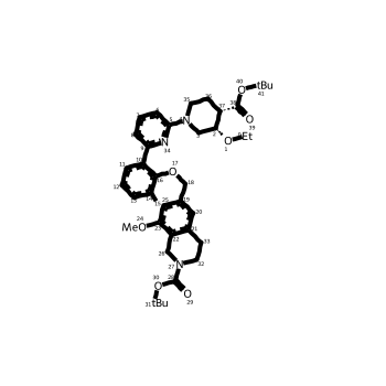 CCO[C@@H]1CN(c2cccc(-c3cccc(C)c3OCc3cc4c(c(OC)c3)CN(C(=O)OC(C)(C)C)CC4)n2)CC[C@@H]1C(=O)OC(C)(C)C